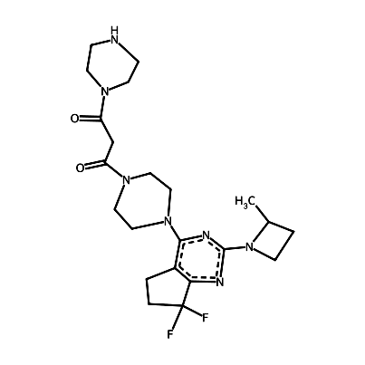 CC1CCN1c1nc(N2CCN(C(=O)CC(=O)N3CCNCC3)CC2)c2c(n1)C(F)(F)CC2